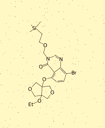 CCOC12COCC1(Oc1ccc(Br)c3ncn(COCC[Si](C)(C)C)c(=O)c13)COC2